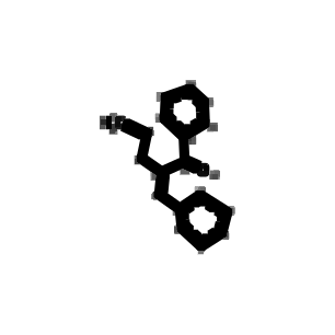 C=CCC(=Cc1ccccc1)C(=O)c1ccccc1